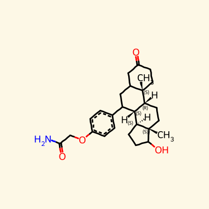 C[C@]12CCC(=O)CC1CC(c1ccc(OCC(N)=O)cc1)[C@@H]1[C@H]2CC[C@]2(C)C(O)CC[C@@H]12